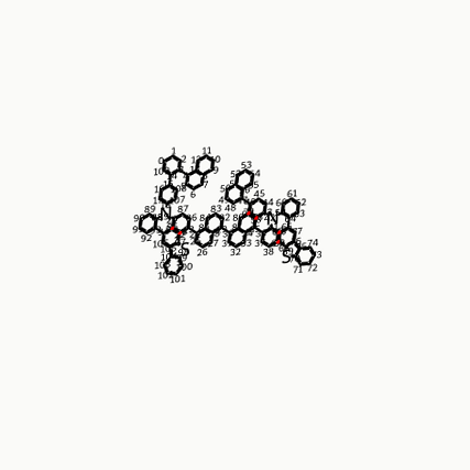 c1ccc(-c2cccc3ccccc23)c(-c2ccc(N(c3ccc(-c4cccc5c(-c6cccc7c(-c8ccccc8N(c8ccc(-c9cccc%10ccccc9%10)cc8)c8ccccc8-c8ccc9sc%10ccccc%10c9c8)cccc67)cccc45)cc3)c3ccccc3-c3ccc4sc5ccccc5c4c3)cc2)c1